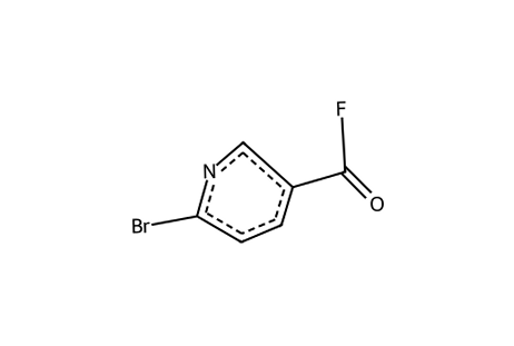 O=C(F)c1ccc(Br)nc1